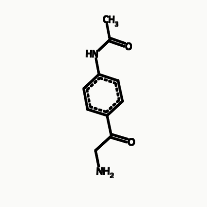 CC(=O)Nc1ccc(C(=O)CN)cc1